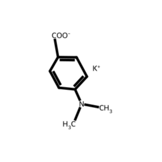 CN(C)c1ccc(C(=O)[O-])cc1.[K+]